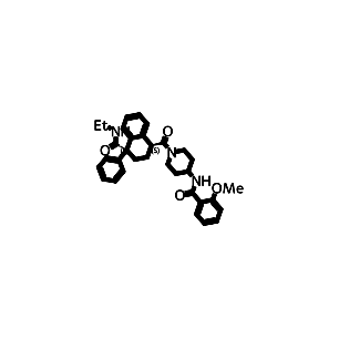 CCNC(=O)[C@@]1(c2ccccc2)CC[C@H](C(=O)N2CCC(NC(=O)c3ccccc3OC)CC2)c2ccccc21